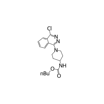 CCCCOC(=O)NC1CCN(c2nnc(Cl)c3ccccc23)CC1